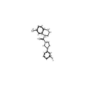 O=C(N1CCC(c2cccc(F)c2)C1)N1CCOc2ccc(Cl)cc21